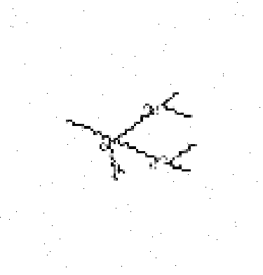 CCCCCCCCCCN(C(=O)CCCCN(CC)CC)C(CCCCCCCCC(=O)OCC(CCCC)CCCCCC)CCCCCCCCC(=O)OCC(CCCC)CCCCCC